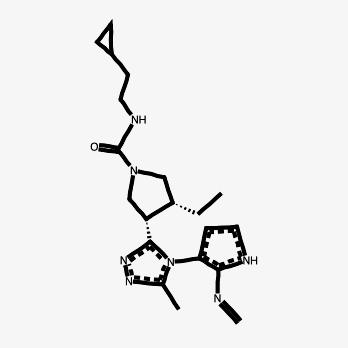 C=Nc1[nH]ccc1-n1c(C)nnc1[C@@H]1CN(C(=O)NCCC2CC2)C[C@@H]1CC